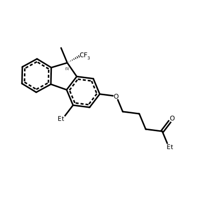 CCC(=O)CCCOc1cc(CC)c2c(c1)[C@@](C)(C(F)(F)F)c1ccccc1-2